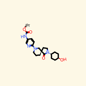 CC(C)OC(=O)Nc1ccc(N2CCC[C@]3(CCN([C@H]4CC[C@H](O)CC4)C3=O)C2)nc1